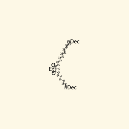 [CH2]C(CC)(C(=O)CCCCCCCCCCCCCCCCC)C(=O)CCCCCCCCCCCCCCCCCCCCC